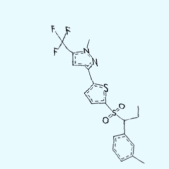 CCC(c1cccc(C)c1)S(=O)(=O)c1ccc(-c2cc(C(F)(F)F)n(C)n2)s1